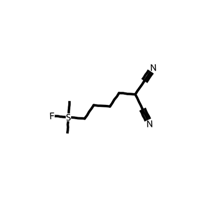 CS(C)(F)CCCCC(C#N)C#N